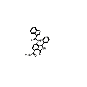 CNC(=O)c1ccc(NC(=O)c2csc3ccccc23)c2c1C(=O)NC2c1ccccc1C